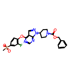 CS(=O)(=O)c1ccc(Oc2ncnc3c2cnn3C2CCN(C(=O)OCc3ccccc3)CC2)c(F)c1